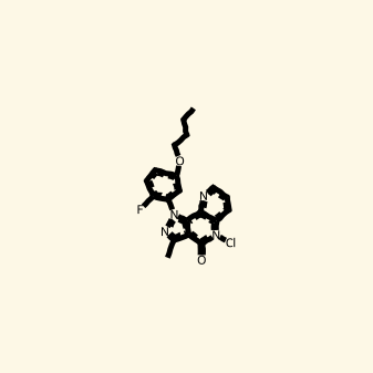 CCCCOc1ccc(F)c(-n2nc(C)c3c(=O)n(Cl)c4cccnc4c32)c1